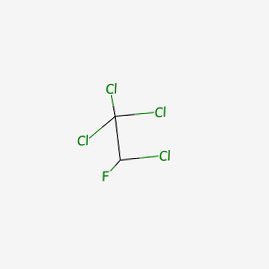 FC(Cl)C(Cl)(Cl)Cl